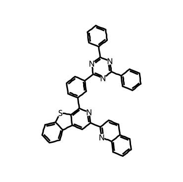 c1ccc(-c2nc(-c3ccccc3)nc(-c3cccc(-c4nc(-c5ccc6ccccc6n5)cc5c4sc4ccccc45)c3)n2)cc1